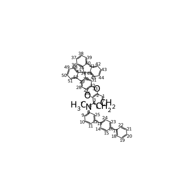 C=CC1=C(C(=C)N(C)c2cccc(-c3ccc(-c4ccccc4)cc3)c2)Oc2cc3c(cc2O1)C1(c2ccccc2-c2ccccc21)c1ccccc1-3